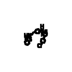 Clc1ccc(C2CCSC(Nc3ccc(CCNc4nc5ccccc5s4)cc3)=N2)cc1